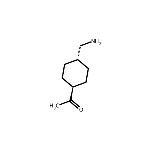 CC(=O)[C@H]1CC[C@H](CN)CC1